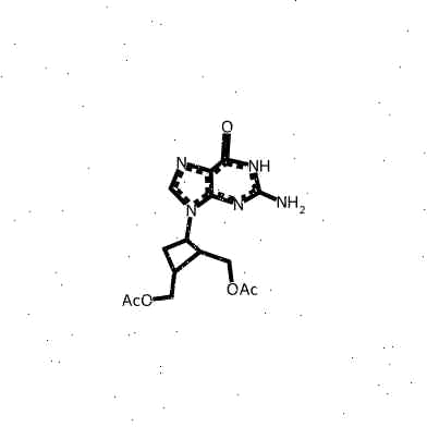 CC(=O)OCC1CC(n2cnc3c(=O)[nH]c(N)nc32)C1COC(C)=O